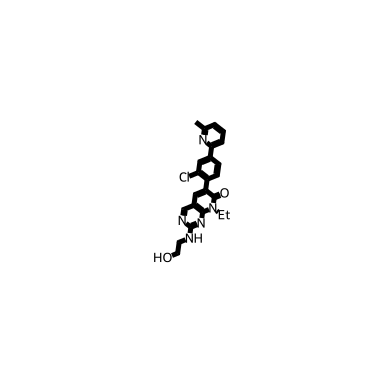 CCn1c(=O)c(-c2ccc(-c3cccc(C)n3)cc2Cl)cc2cnc(NCCO)nc21